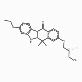 CCOc1ccc2c(c1)NC1C2C(=O)c2ccc(OC[C@H](O)CO)cc2C1(C)C